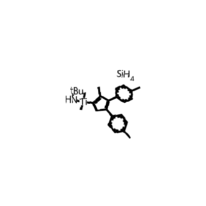 CC1=[C]([Ti]([CH3])([CH3])[NH]C(C)(C)C)CC(c2ccc(C)cc2)=C1c1ccc(C)cc1.[SiH4]